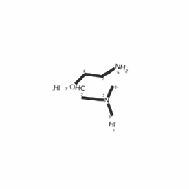 CN(C)C.I.I.NCCC=O